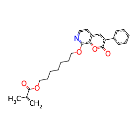 C=C(C)C(=O)OCCCCCCCOc1nccc2cc(-c3ccccc3)c(=O)oc12